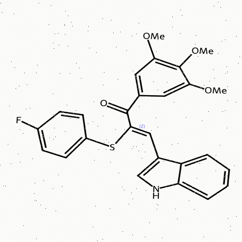 COc1cc(C(=O)/C(=C/c2c[nH]c3ccccc23)Sc2ccc(F)cc2)cc(OC)c1OC